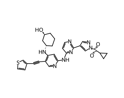 O=S(=O)(C1CC1)n1cc(-c2nccc(Nc3cc(N[C@H]4CCC[C@H](O)C4)c(C#Cc4ccsc4)cn3)n2)cn1